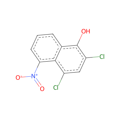 O=[N+]([O-])c1cccc2c(O)c(Cl)cc(Cl)c12